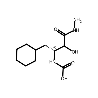 NNC(=O)C(O)[C@@H](CC1CCCCC1)NC(=O)O